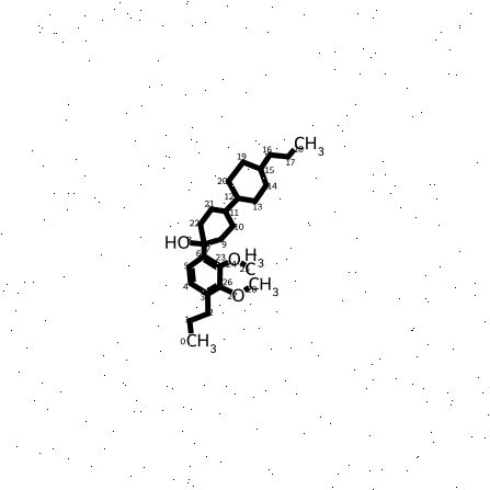 CCCc1ccc(C2(O)CCC(C3CCC(CCC)CC3)CC2)c(OC)c1OC